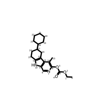 CCOC(=O)Oc1ncc2[nH]c3c(c2c1C)CC(C1CCCCC1)CC3